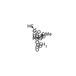 C#Cc1ccc(C(=O)NC(CP(=O)(OC)OC)C(=O)Nc2ccc(N3CCOCC3=O)c(C)c2)s1